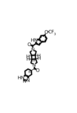 O=C(c1cc2ccc(OC(F)(F)F)cc2[nH]1)N1C[C@@H]2[C@H](C1)[C@H]1CN(C(=O)[C@@H]3CCc4[nH]nnc4C3)C[C@@H]21